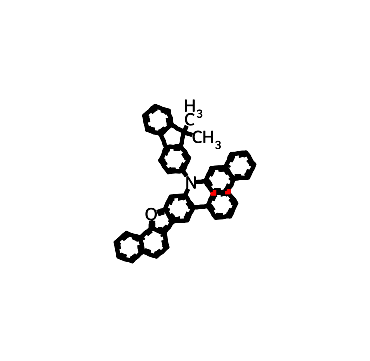 CC1(C)c2ccccc2-c2ccc(N(c3ccc4ccccc4c3)c3cc4oc5c6ccccc6ccc5c4cc3-c3ccccc3)cc21